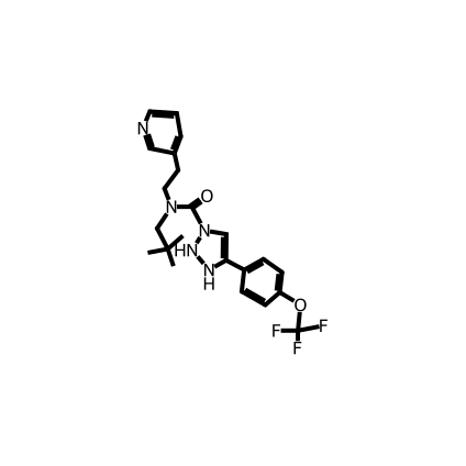 CC(C)(C)CN(CCc1cccnc1)C(=O)N1C=C(c2ccc(OC(F)(F)F)cc2)NN1